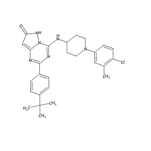 Cc1cc(N2CCC(Nc3nc(-c4ccc(C(C)(C)C)cc4)nc4cc(=O)[nH]n34)CC2)ccc1Cl